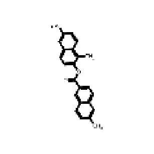 CCCc1ccc2c(C)c(OC(=O)c3ccc4cc(C)ccc4c3)ccc2c1